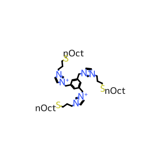 CCCCCCCCSCCCn1cc[n+](Cc2cc(C[n+]3ccn(CCCSCCCCCCCC)c3)cc(C[n+]3ccn(CCCSCCCCCCCC)c3)c2)c1